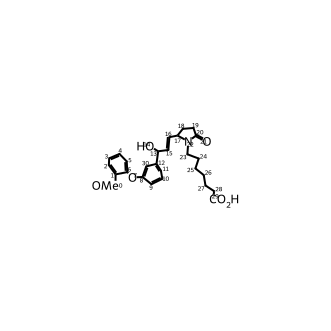 COc1ccccc1Oc1cccc(C(O)C=CC2CCC(=O)N2CCCCCCC(=O)O)c1